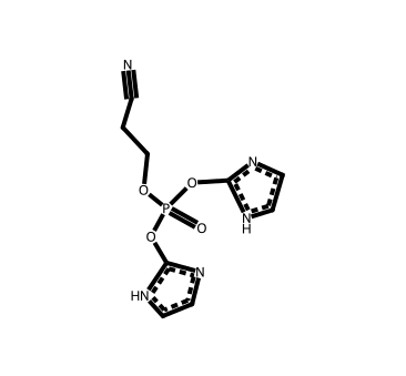 N#CCCOP(=O)(Oc1ncc[nH]1)Oc1ncc[nH]1